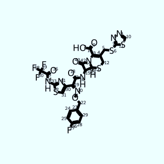 O=C(O)C1=C(CSc2nncs2)CS[C@H]2C(NC(=O)C(=NOCc3ccc(F)cc3)c3csc(NC(=O)C(F)(F)F)n3)C(=O)N12